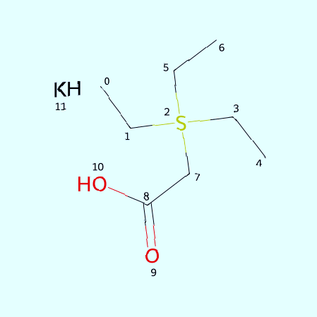 CCS(CC)(CC)CC(=O)O.[KH]